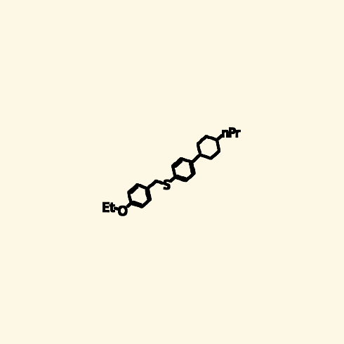 CCCC1CCC(c2ccc(SCc3ccc(OCC)cc3)cc2)CC1